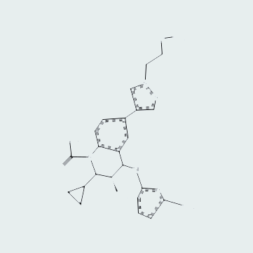 COCCn1cc(-c2ccc3c(c2)C(Nc2cccc(C)n2)[C@@H](C)C(C2CC2)N3C(C)=O)cn1